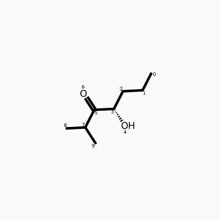 CCC[C@H](O)C(=O)C(C)C